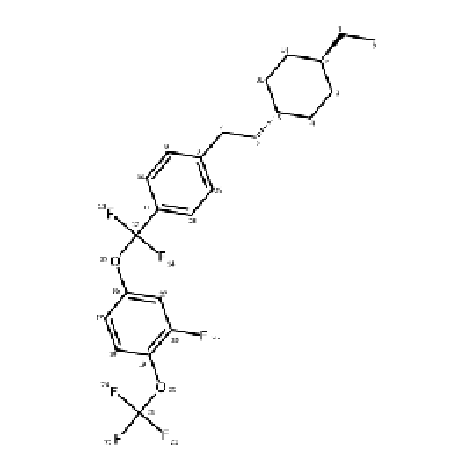 CC[C@H]1CC[C@H](CCc2ccc(C(F)(F)Oc3ccc(OC(F)(F)F)c(F)c3)cc2)CC1